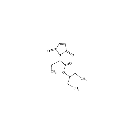 CCC(CC)OC(=O)C(CC)N1C(=O)C=CC1=O